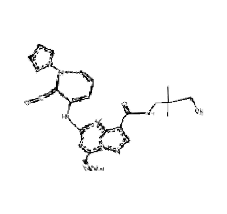 CNc1cc(NC2=CC=CN(n3cccc3)C2=C=O)nc2c(C(=O)NCC(C)(C)CO)cnn12